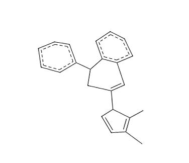 CC1=C(C)C(C2=Cc3ccccc3C(c3ccccc3)C2)C=C1